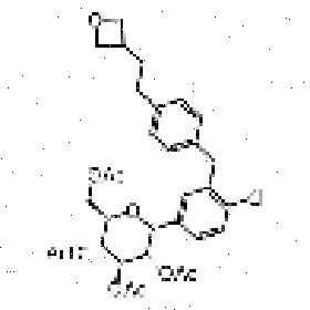 CC(=O)OC[C@H]1O[C@@H](c2ccc(Cl)c(Cc3ccc(CCC4COC4)cc3)c2)[C@H](OC(C)=O)[C@@H](OC(C)=O)[C@@H]1OC(C)=O